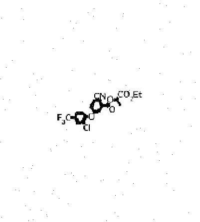 CCOC(=O)C(C)OC(=O)c1cc(Oc2ccc(C(F)(F)F)cc2Cl)ccc1C#N